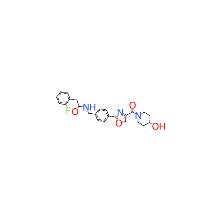 O=C(Cc1ccccc1F)NCc1ccc(-c2nc(C(=O)N3CCC(O)CC3)co2)cc1